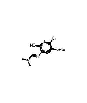 COc1cc(/N=C/N(C)C)c(C#N)nc1Br